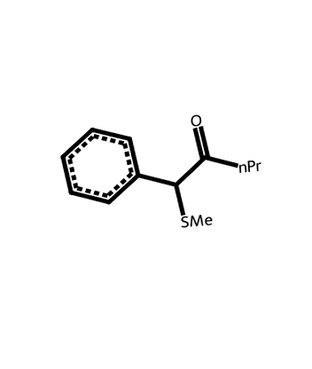 CCCC(=O)C(SC)c1ccccc1